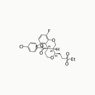 CCS(=O)(=O)CC[C@H]1OCC[C@]2(S(=O)(=O)c3ccc(Cl)cc3)c3c(F)ccc(F)c3OC[C@H]12